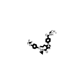 CCNC(=O)c1ccc(-n2nnc(C(=O)NC3CC3)c2CCCOc2ccc(OC(F)(F)F)cc2)cc1